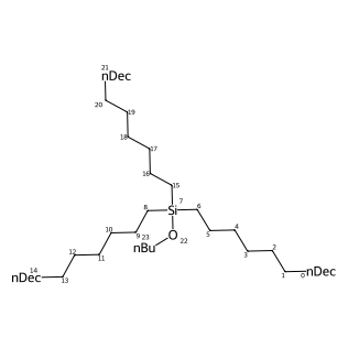 CCCCCCCCCCCCCCCC[Si](CCCCCCCCCCCCCCCC)(CCCCCCCCCCCCCCCC)OCCCC